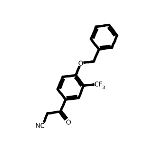 N#CCC(=O)c1ccc(OCc2ccccc2)c(C(F)(F)F)c1